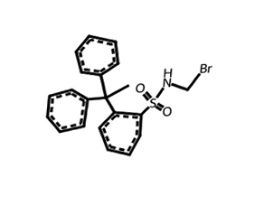 CC(c1ccccc1)(c1ccccc1)c1ccccc1S(=O)(=O)NCBr